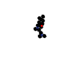 c1ccc(-c2c3ccccc3c(-c3ccc4c(c3)C(c3ccccc3)(c3ccccc3)c3cc(-n5c6ccccc6c6cc(-c7ccc8c(c7)c7ccccc7n8-c7ccccc7)ccc65)ccc3-4)c3ccccc23)cc1